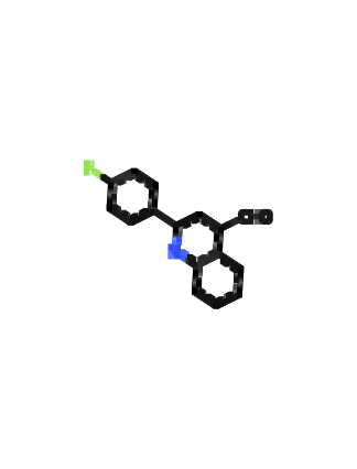 O=Cc1cc(-c2ccc(F)cc2)nc2ccccc12